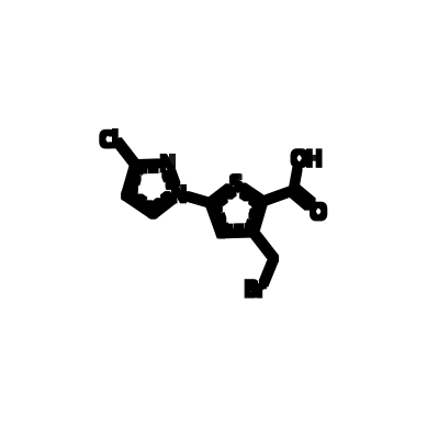 O=C(O)c1sc(-n2ccc(Cl)n2)cc1CBr